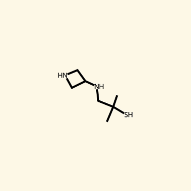 CC(C)(S)CNC1CNC1